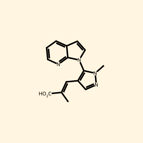 CC(=Cc1cnn(C)c1-n1ccc2cccnc21)C(=O)O